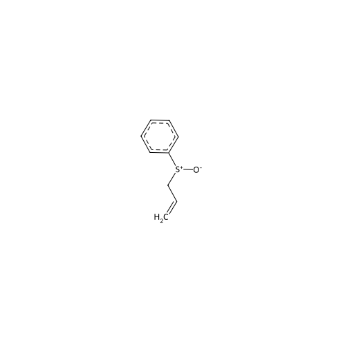 C=CC[S+]([O-])c1ccccc1